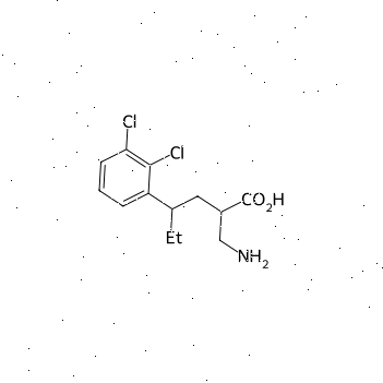 CCC(CC(CN)C(=O)O)c1cccc(Cl)c1Cl